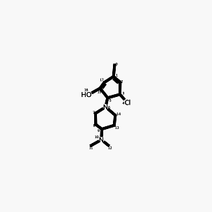 CC1=CC(Cl)C(N2CCC(N(C)C)CC2)C(O)=C1